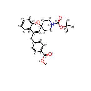 COC(=O)c1ccc(CC2=CC3(CCN(C(=O)OC(C)(C)C)CC3)Oc3ccccc32)cc1